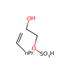 C=CCCC.O=S(=O)(O)OCCO